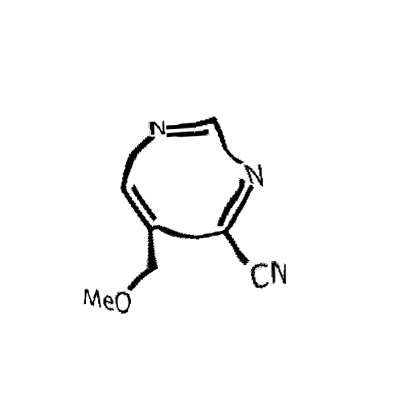 COc1cncnc1C#N